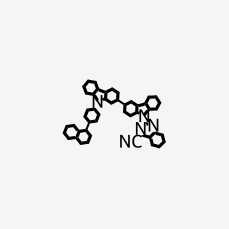 N#Cc1nc(-n2c3ccccc3c3cc(-c4ccc5c6ccccc6n(-c6ccc(-c7cccc8ccccc78)cc6)c5c4)ccc32)nc2ccccc12